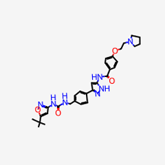 CC(C)(C)c1cc(NC(=O)NCc2ccc(-c3cc(NC(=O)c4ccc(OCCN5CCCC5)cc4)[nH]n3)cc2)no1